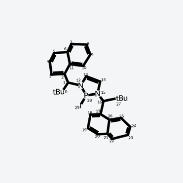 CC(C)(C)C(c1cccc2ccccc12)N1C=CN(C(c2cccc3ccccc23)C(C)(C)C)P1I